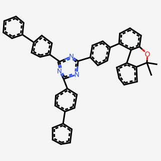 CC1(C)Oc2cccc(-c3ccc(-c4nc(-c5ccc(-c6ccccc6)cc5)nc(-c5ccc(-c6ccccc6)cc5)n4)cc3)c2-c2ccccc21